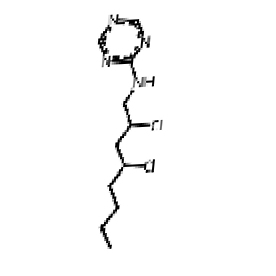 CCCCC(Cl)CC(Cl)CNc1ncncn1